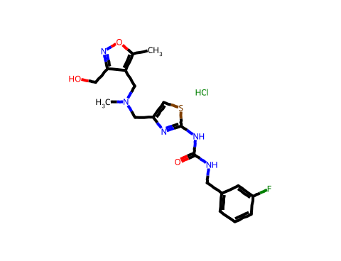 Cc1onc(CO)c1CN(C)Cc1csc(NC(=O)NCc2cccc(F)c2)n1.Cl